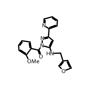 COc1ccccc1C(=O)n1nc(-c2ccccn2)cc1NCc1ccoc1